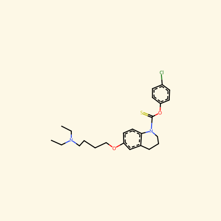 CCN(CC)CCCCOc1ccc2c(c1)CCCN2C(=S)Oc1ccc(Cl)cc1